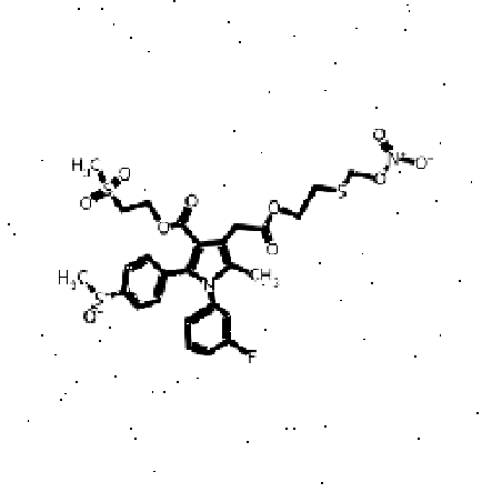 Cc1c(CC(=O)OCCSCO[N+](=O)[O-])c(C(=O)OCCS(C)(=O)=O)c(-c2ccc([S+](C)[O-])cc2)n1-c1cccc(F)c1